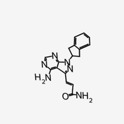 NC(=O)C=Cc1nn(C2Cc3ccccc3C2)c2ncnc(N)c12